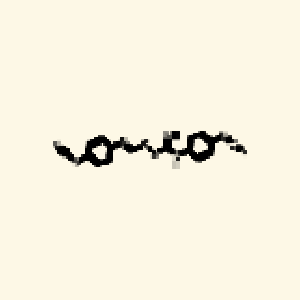 N#CSc1ccc(N=CSSC(=N)Nc2ccc(N=C=S)cc2)cc1